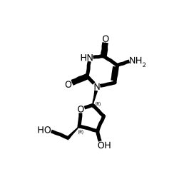 Nc1cn([C@H]2CC(O)[C@@H](CO)O2)c(=O)[nH]c1=O